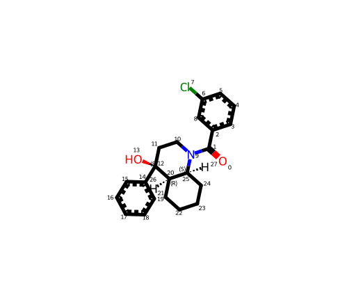 O=C(c1cccc(Cl)c1)N1CC[C@@](O)(c2ccccc2)[C@@H]2CCCC[C@@H]21